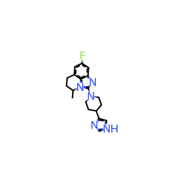 CC1CCc2cc(F)cc3nc(N4CCC(c5c[nH]cn5)CC4)n1c23